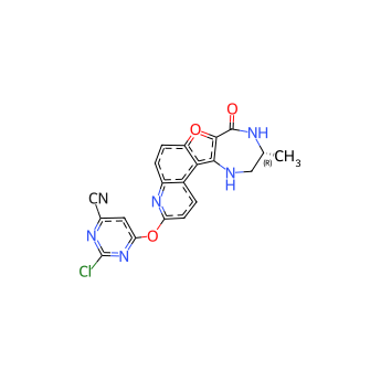 C[C@@H]1CNc2c(oc3ccc4nc(Oc5cc(C#N)nc(Cl)n5)ccc4c23)C(=O)N1